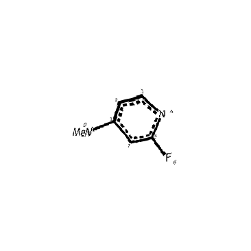 CNc1ccnc(F)c1